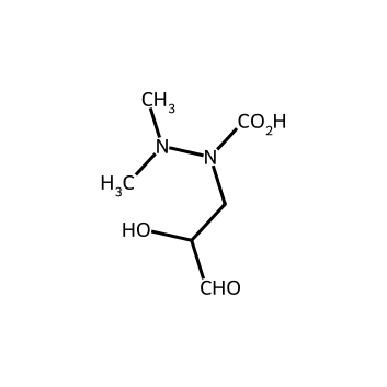 CN(C)N(CC(O)C=O)C(=O)O